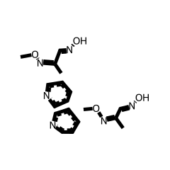 CON=C(C)C=NO.CON=C(C)C=NO.c1ccncc1.c1ccncc1